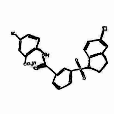 N#Cc1ccc(NC(=O)c2cccc(S(=O)(=O)N3CCc4cc(Cl)ccc43)c2)c(C(=O)O)c1